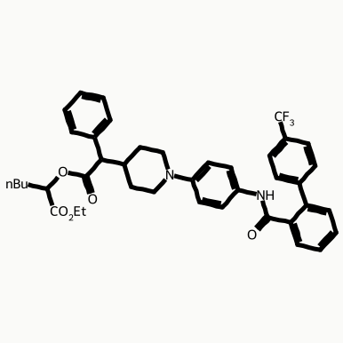 CCCCC(OC(=O)C(c1ccccc1)C1CCN(c2ccc(NC(=O)c3ccccc3-c3ccc(C(F)(F)F)cc3)cc2)CC1)C(=O)OCC